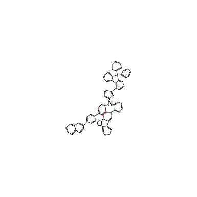 c1ccc(C2(c3ccccc3)c3ccccc3-c3c(-c4cccc(N(c5ccc(-c6ccc(-c7ccc8ccccc8c7)cc6)cc5)c5ccccc5-c5ccc6oc7ccccc7c6c5)c4)cccc32)cc1